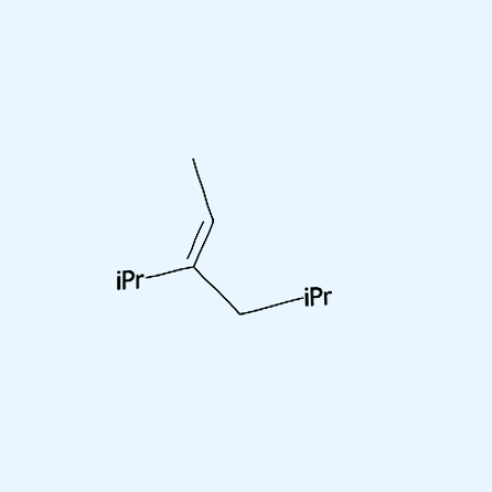 CC=C(CC(C)C)C(C)C